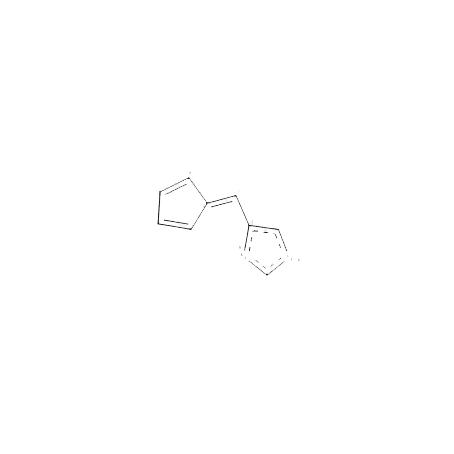 C1=CC(=Cc2cnc[nH]2)C=C1